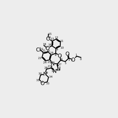 CCOC(=O)CC1OC(c2cccc(OC)c2OC)c2cc(Cl)ccc2-n2c(CN3CCOCC3)nnc21